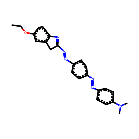 CCOc1ccc2c(c1)CC(N=Nc1ccc(N=Nc3ccc(N(C)C)cc3)cc1)=N2